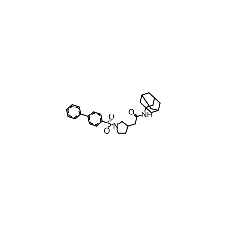 O=C(CC1CCN(S(=O)(=O)c2ccc(-c3ccccc3)cc2)C1)NC12CC3CC(CC(C3)C1)C2